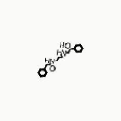 O=C(Cc1ccccc1)NCCCNCC(O)c1ccccc1